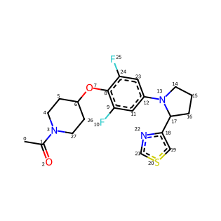 CC(=O)N1CCC(Oc2c(F)cc(N3CCCC3c3cscn3)cc2F)CC1